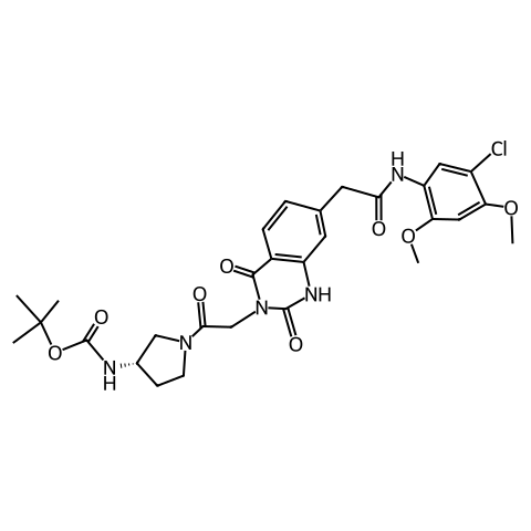 COc1cc(OC)c(NC(=O)Cc2ccc3c(=O)n(CC(=O)N4CC[C@H](NC(=O)OC(C)(C)C)C4)c(=O)[nH]c3c2)cc1Cl